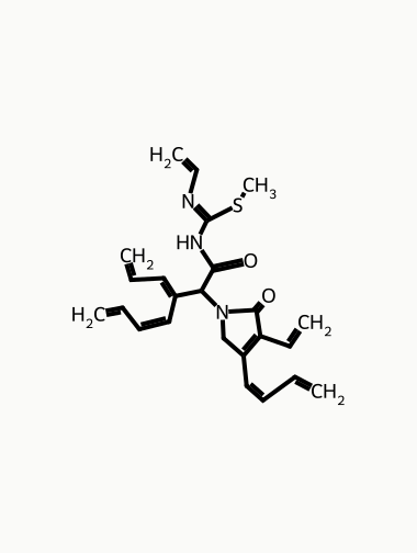 C=C/C=C\C1=C(C=C)C(=O)N(C(C(=O)N/C(=N/C=C)SC)C(/C=C\C=C)=C/C=C)C1